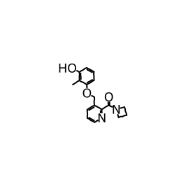 Cc1c(O)cccc1OCc1cccnc1C(=O)N1CCC1